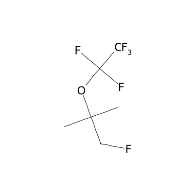 CC(C)(CF)OC(F)(F)C(F)(F)F